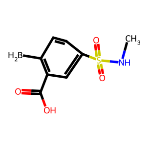 Bc1ccc(S(=O)(=O)NC)cc1C(=O)O